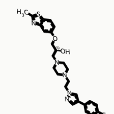 Cc1nc2cc(OC[C@@H](O)CN3CCN(CCn4cc(-c5ccc(F)cc5)cn4)CC3)ccc2s1